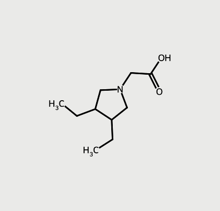 CCC1CN(CC(=O)O)CC1CC